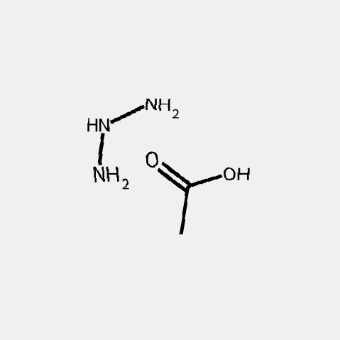 CC(=O)O.NNN